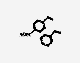 C=Cc1ccc(CCCCCCCCCC)cc1.C=Cc1ccccc1